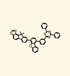 CC1(C)c2cc(-c3ccc(-c4cccc(-c5nc(-c6ccccc6)nc(-c6ccccc6)n5)c4)c4c3oc3ccccc34)ccc2-c2ccc3ocnc3c21